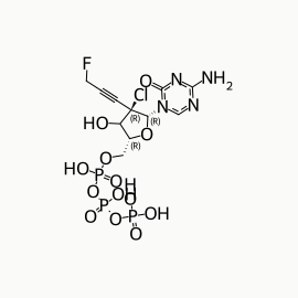 Nc1ncn([C@@H]2O[C@H](COP(=O)(O)OP(=O)(O)OP(=O)(O)O)C(O)[C@]2(Cl)C#CCF)c(=O)n1